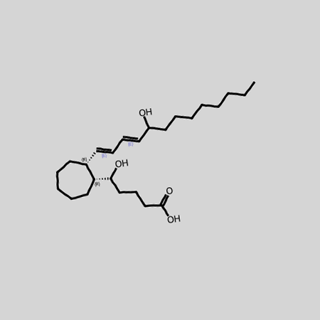 CCCCCCCCC(O)/C=C/C=C/[C@H]1CCCCC[C@H]1C(O)CCCC(=O)O